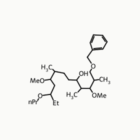 CCCOC(CC)CC(OC)C(C)CCC(O)C(C)C(OC)C(C)COCc1ccccc1